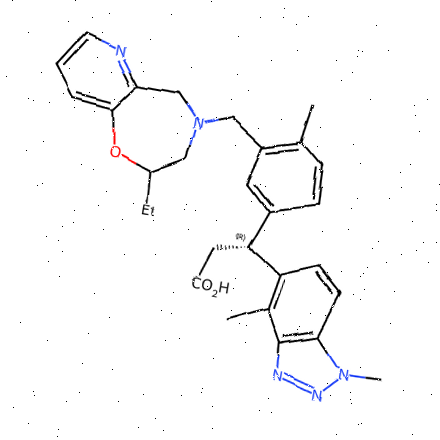 CCC1CN(Cc2cc([C@@H](CC(=O)O)c3ccc4c(nnn4C)c3C)ccc2C)Cc2ncccc2O1